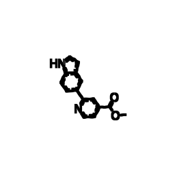 COC(=O)c1ccnc(-c2ccc3[nH]ccc3c2)c1